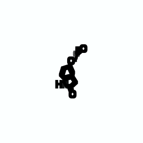 O=C1Cc2cc(OC[C@@H]3CO3)ccc2N1